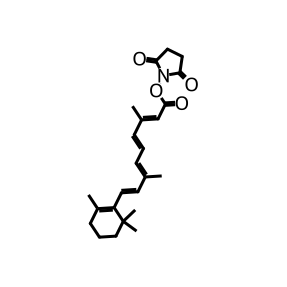 CC(C=CC1=C(C)CCCC1(C)C)=CC=CC(C)=CC(=O)ON1C(=O)CCC1=O